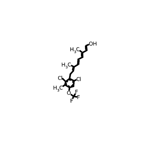 CC(/C=C/O)=C\C=C\C(C)=C\Cc1c(Cl)cc(OC(F)(F)F)c(C)c1Cl